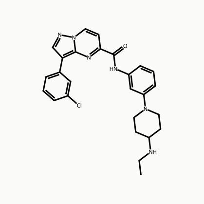 CCNC1CCN(c2cccc(NC(=O)c3ccn4ncc(-c5cccc(Cl)c5)c4n3)c2)CC1